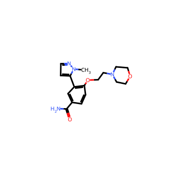 Cn1nccc1-c1cc(C(N)=O)ccc1OCCN1CCOCC1